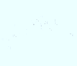 CC(C)n1c(=O)c(-c2cc(F)c(NC[C@@H](O)C(F)(F)F)c(F)c2F)cc2cnc(N[C@H]3CC[C@H](N(C)C)CC3)nc21